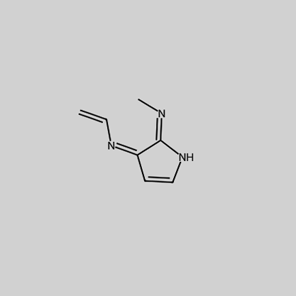 C=C/N=C1/C=CN/C1=N/C